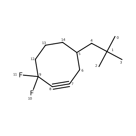 CC(C)(C)CC1CC#CC(F)(F)CCC1